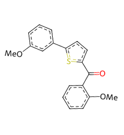 COc1cccc(-c2ccc(C(=O)c3ccccc3OC)s2)c1